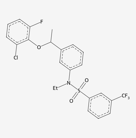 CCN(c1cccc(C(C)Oc2c(F)cccc2Cl)c1)S(=O)(=O)c1cccc(C(F)(F)F)c1